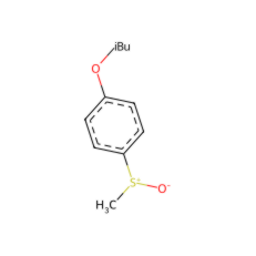 CCC(C)Oc1ccc([S+](C)[O-])cc1